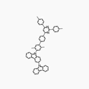 Cc1ccc(-c2cc(-c3ccc(-c4cc(C)c(-n5c6ccccc6c6cc(-n7c8ccccc8c8ccccc87)ccc65)cc4C)cc3)nc(-c3ccc(C)cc3)n2)cc1